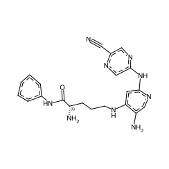 N#Cc1cnc(Nc2cc(NCCC[C@H](N)C(=O)Nc3ccccc3)c(N)cn2)cn1